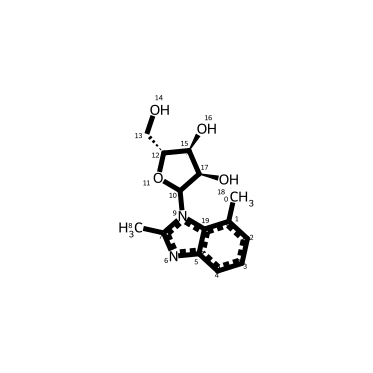 Cc1cccc2nc(C)n(C3O[C@H](CO)[C@@H](O)[C@H]3O)c12